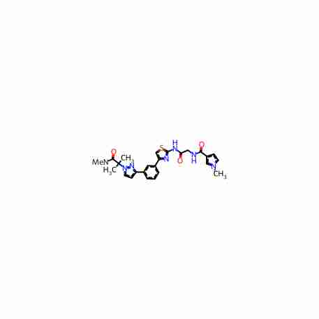 CNC(=O)C(C)(C)n1ccc(-c2cccc(-c3csc(NC(=O)CNC(=O)c4ccn(C)c4)n3)c2)n1